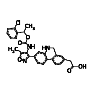 Cc1onc(-c2ccc3c(c2)NCc2cc(CC(=O)O)ccc2-3)c1NC(=O)OC(C)c1ccccc1Cl